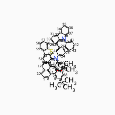 CC(C)(C)c1cc(-c2cccc3cccc(-c4ccccc4N(c4cccc(-c5cccc6c7ccccc7n(-c7ccccc7)c56)c4)c4cccc5c4sc4ccccc45)c23)cc(C(C)(C)C)c1